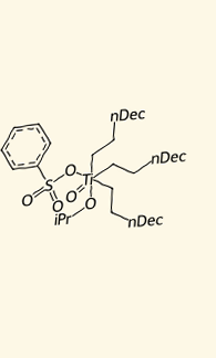 CCCCCCCCCCC[CH2][Ti](=[O])([CH2]CCCCCCCCCCC)([CH2]CCCCCCCCCCC)([O]C(C)C)[O]S(=O)(=O)c1ccccc1